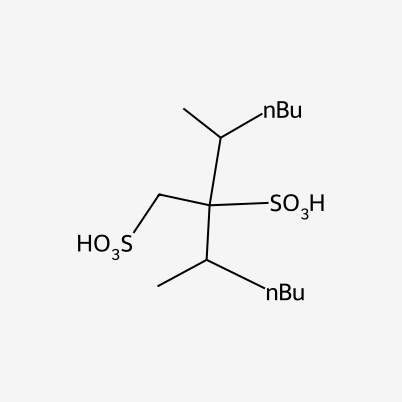 CCCCC(C)C(CS(=O)(=O)O)(C(C)CCCC)S(=O)(=O)O